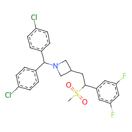 CS(=O)(=O)C(CC1CN(C(c2ccc(Cl)cc2)c2ccc(Cl)cc2)C1)c1cc(F)cc(F)c1